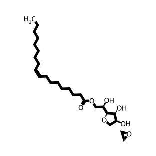 C1CO1.CCCCCCCC/C=C\CCCCCCCC(=O)OC[C@@H](O)[C@H]1OC[C@H](O)[C@H]1O